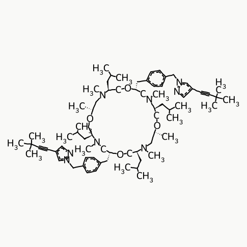 CC(C)C[C@H]1CO[C@H](C)CN(C)[C@@H](CC(C)C)CO[C@H](Cc2ccc(Cn3cc(C#CC(C)(C)C)cn3)cc2)CN(C)[C@@H](CC(C)C)CO[C@H](C)CN(C)[C@@H](CC(C)C)CO[C@H](Cc2ccc(Cn3cc(C#CC(C)(C)C)cn3)cc2)CN1C